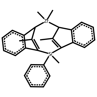 CC1=C2c3ccccc3[CH]1[Zr]([CH3])([CH3])[CH]1C(C)=C(c3ccccc31)[Si]2(C)c1ccccc1